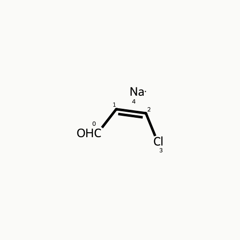 O=C/C=C\Cl.[Na]